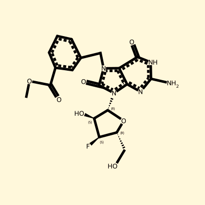 COC(=O)c1cccc(Cn2c(=O)n([C@@H]3O[C@H](CO)[C@@H](F)[C@H]3O)c3nc(N)[nH]c(=O)c32)c1